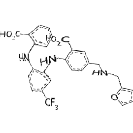 O=C(O)c1ccccc1Nc1ccc(C(F)(F)F)cc1Nc1ccc(CNCc2ccco2)cc1C(=O)O